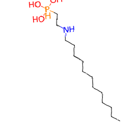 CCCCCCCCCCCCNCC[PH](O)(O)O